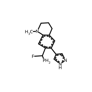 CN1CCCc2cc(-c3cn[nH]c3)c(C(F)P)cc21